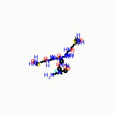 Cc1c(-c2cccc(S(=O)(=O)N(C)C)c2)c2cc(C(=O)Nc3ccc4c(c3)n(CCn3cc(CCNC(=O)CCCC[C@@H]5SCC6NC(=O)NC65)nn3)c(=O)n4CCN3C=C(CCNC(=O)CCCC[C@@H]4SC[C@@H]5NC(=O)N[C@@H]54)NN3)ccc2n1C/C(F)=C/CN